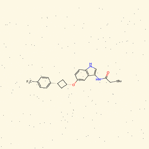 CC(C)(C)CC(=O)Nc1c[nH]c2ccc(O[C@H]3C[C@@H](c4ccc(C(F)(F)F)cc4)C3)cc12